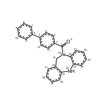 O=C(c1ccc(-c2ccccc2)cc1)N1Cc2ccccc2Nc2ccccc21